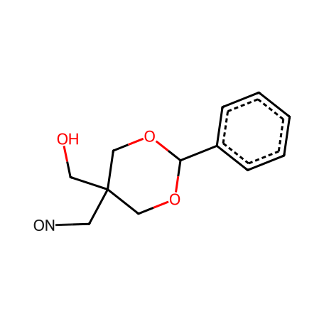 O=NCC1(CO)COC(c2ccccc2)OC1